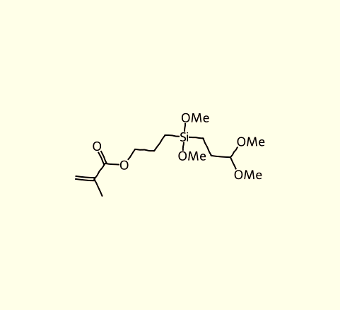 C=C(C)C(=O)OCCC[Si](CCC(OC)OC)(OC)OC